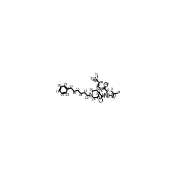 CC(C)C[C@@H]1NC(=O)C2(CCN(CCCCCCc3ccccc3)CC2)N(CCN(C)C)C1=O